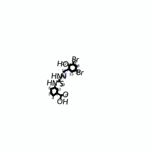 O=C(O)c1cccc(NC(=S)N/N=C/c2cc(Br)cc(Br)c2O)c1